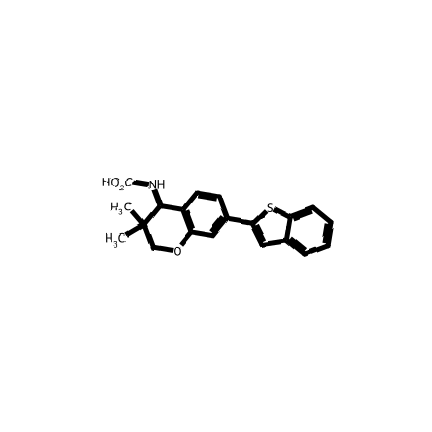 CC1(C)COc2cc(-c3cc4ccccc4s3)ccc2C1NC(=O)O